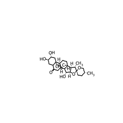 C[C@@H]1CC[C@@]2(OC1)O[C@H]1[C@H](O)[C@H]3[C@@H]4CC(=O)C5C[C@@H](O)[C@H](O)C[C@]5(C)[C@H]4CC[C@]3(C)[C@H]1[C@@H]2C